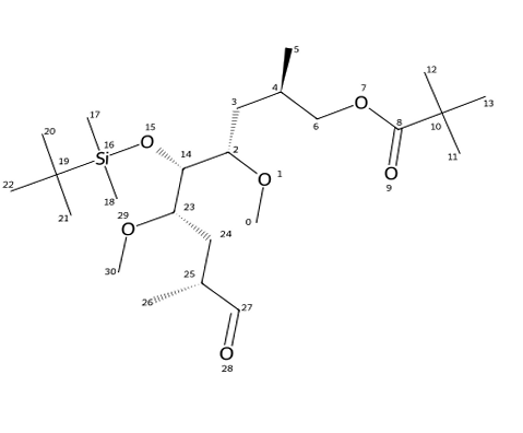 CO[C@@H](C[C@@H](C)COC(=O)C(C)(C)C)[C@@H](O[Si](C)(C)C(C)(C)C)[C@H](C[C@@H](C)C=O)OC